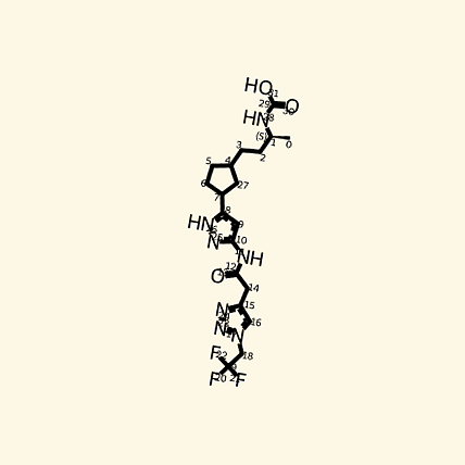 C[C@@H](CCC1CCC(c2cc(NC(=O)Cc3cn(CC(F)(F)F)nn3)n[nH]2)C1)NC(=O)O